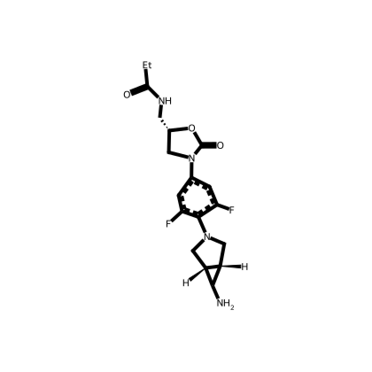 CCC(=O)NC[C@H]1CN(c2cc(F)c(N3C[C@@H]4C(N)[C@@H]4C3)c(F)c2)C(=O)O1